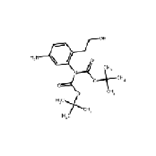 CC(C)(C)OC(=O)N(C(=O)OC(C)(C)C)c1cc(N)ccc1CCO